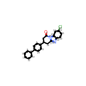 O=C1CC(c2ccc(-c3ccccc3)cc2)Cc2nc3ccc(Cl)cc3n21